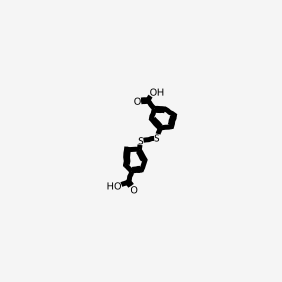 O=C(O)c1ccc(SSc2cccc(C(=O)O)c2)cc1